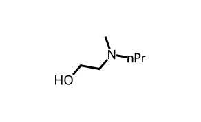 CCCN(C)CCO